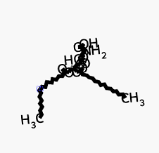 CCCCCCCC/C=C\CCCCCCCC(=O)OC[C@H](COP(=O)(O)OC[C@H](N)C(=O)O)OC(=O)CCCCCCCCCCCCCCC